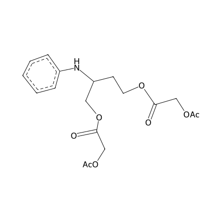 CC(=O)OCC(=O)OCCC(COC(=O)COC(C)=O)Nc1ccccc1